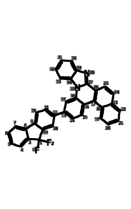 FC1(F)c2ccccc2-c2ccc(-c3ccc4c5c6ccccc6ccc5c5nc6ccccc6n5c4c3)cc21